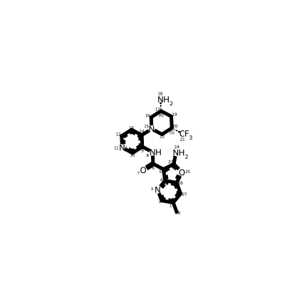 Cc1cnc2c(C(=O)Nc3cnccc3N3C[C@H](N)C[C@H](C(F)(F)F)C3)c(N)oc2c1